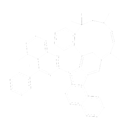 CC1=C2\C=c3c(n(C4=NC5=CC=CC(C)[C@@H]5C(c5ccccc5)=N4)c4ccc5ccccc5c34)=C(C2)c2ccccc2C(C)(C)CC(C)/C=C\1